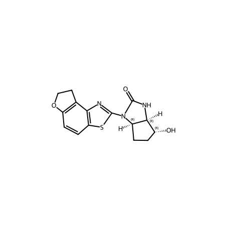 O=C1N[C@H]2[C@H](O)CC[C@H]2N1c1nc2c3c(ccc2s1)OCC3